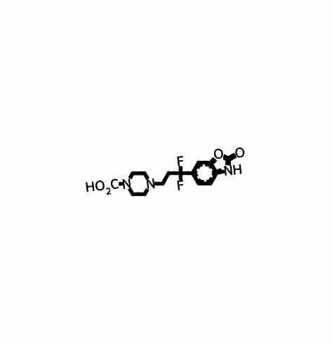 O=C(O)N1CCN(CCC(F)(F)c2ccc3[nH]c(=O)oc3c2)CC1